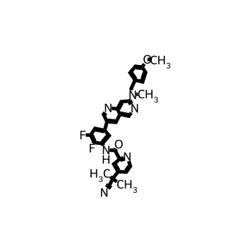 COc1ccc(CN(C)c2cc3ncc(-c4cc(F)c(F)c(NC(=O)c5cc(C(C)(C)C#N)ccn5)c4)cc3cn2)cc1